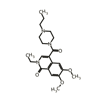 CCCN1CCN(C(=O)c2cn(CC)c(=O)c3cc(OC)c(OC)cc23)CC1